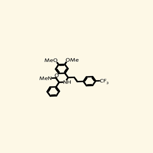 CNC(=O)C(NC(CCc1ccc(C(F)(F)F)cc1)c1ccc(OC)c(OC)c1)c1ccccc1